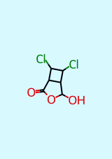 O=C1OC(O)C2C(Cl)C(Cl)C12